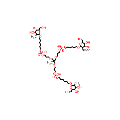 CC(=O)NC1[C@H](OCCCCCCOP(=O)(O)OCCCOCC(C)(COCCCOP(=O)(O)OCCCCCCO[C@@H]2OC(CO)[C@H](O)[C@H](O)C2C)COCCCOP(=O)(O)OCCCCCCO[C@@H]2OC(CO)[C@H](O)[C@H](O)C2C)OC(CO)[C@H](O)[C@@H]1O